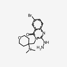 CN(C)C1(Cn2c(NN)nc3ccc(Br)cc3c2=O)CCOCC1